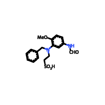 COc1ccc(NC=O)cc1N(CCS(=O)(=O)O)Cc1ccccc1